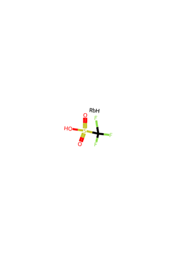 O=S(=O)(O)C(F)(F)F.[RbH]